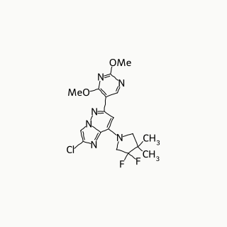 COc1ncc(-c2cc(N3CC(C)(C)C(F)(F)C3)c3nc(Cl)cn3n2)c(OC)n1